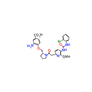 COc1nc(CC(=O)N2CCC[C@H]2COc2ccc(C(=O)O)cc2N)ccc1NC(=O)Nc1ccccc1Br